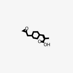 CC(=CC1CCC(CC2CO2)CC1)C(=O)O